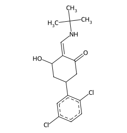 CC(C)(C)N/C=C1\C(=O)CC(c2cc(Cl)ccc2Cl)CC1O